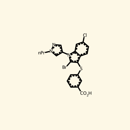 CCCn1cc(-n2c(Br)c(Sc3cccc(C(=O)O)c3)c3ccc(Cl)cc32)cn1